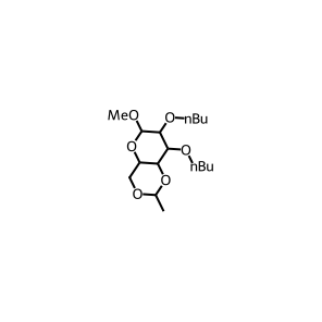 CCCCOC1C(OC)OC2COC(C)OC2C1OCCCC